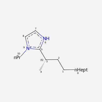 CCCCCCCCC[C@H](C)c1[nH]cc[n+]1CCC